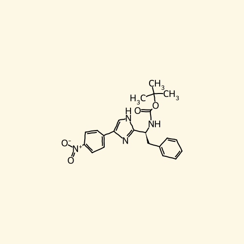 CC(C)(C)OC(=O)N[C@@H](Cc1ccccc1)c1nc(-c2ccc([N+](=O)[O-])cc2)c[nH]1